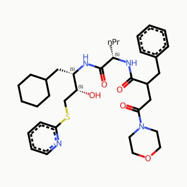 CCC[C@H](NC(=O)C(CC(=O)N1CCOCC1)Cc1ccccc1)C(=O)N[C@@H](CC1CCCCC1)[C@H](O)CSc1ccccn1